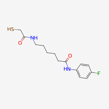 O=C(CS)NCCCCCC(=O)Nc1ccc(F)cc1